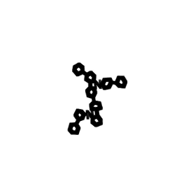 c1ccc(-c2ccc(-n3c4ccc(-c5ccccc5)cc4c4ccc(-c5ccc6c7ccccc7n(-c7cccc(-c8ccccc8)c7)c6c5)cc43)cc2)cc1